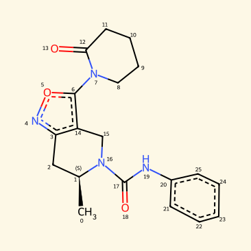 C[C@H]1Cc2noc(N3CCCCC3=O)c2CN1C(=O)Nc1ccccc1